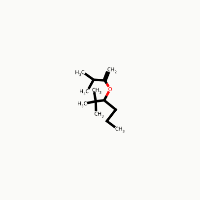 C=C(OC(CCC)C(C)(C)C)C(C)C